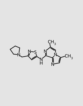 Cc1cn2c(C)cnc2c(Nc2cc(CN3CCCC3)ns2)n1